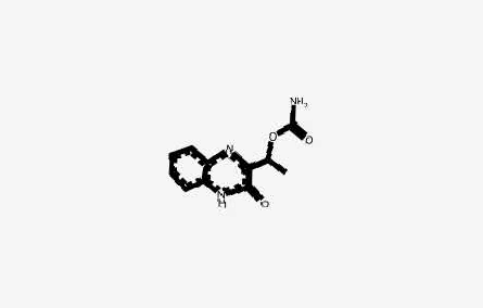 CC(OC(N)=O)c1nc2ccccc2[nH]c1=O